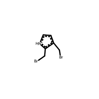 BrCc1cc[nH]c1CBr